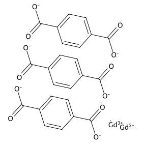 O=C([O-])c1ccc(C(=O)[O-])cc1.O=C([O-])c1ccc(C(=O)[O-])cc1.O=C([O-])c1ccc(C(=O)[O-])cc1.[Gd+3].[Gd+3]